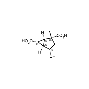 C[C@@]1(C(=O)O)C[C@H](O)[C@H]2[C@H](C(=O)O)[C@H]21